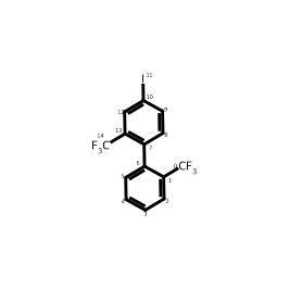 FC(F)(F)c1ccccc1-c1ccc(I)cc1C(F)(F)F